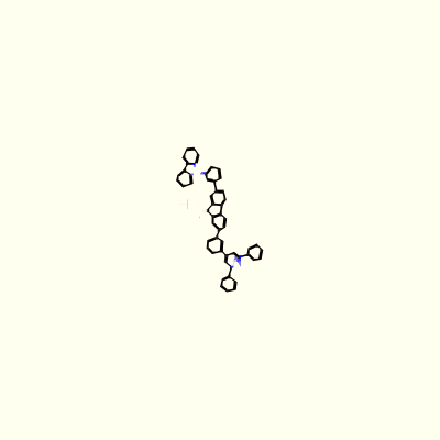 CC1(C)c2cc(-c3cccc(-c4cc(-c5ccccc5)nc(-c5ccccc5)c4)c3)ccc2-c2ccc(-c3cccc(-n4c5ccccc5c5ccccc54)c3)cc21